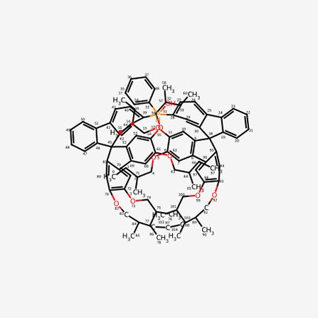 CCC(C)COc1cc2c(cc1OCC(C)CC)C13c4ccccc4-c4ccc(cc41)[PH](O)(c1ccccc1)c1ccc4c(c1)C1(c5ccccc5-4)c4cc(OCC(C)CC)c(OCC(C)CC)cc4-c4cc(OCC(C)CC)c(cc41)OCC(C)CCCC(C)COc1cc3c-2cc1OCC(C)CC